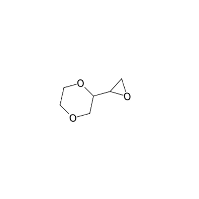 C1COC(C2CO2)CO1